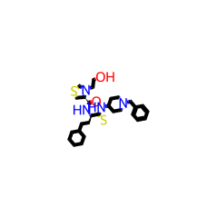 O=C(N[C@H](CCC1CCCCC1)C(=S)NC1CCN(Cc2ccccc2)CC1)[C@@H]1CSCN1CCO